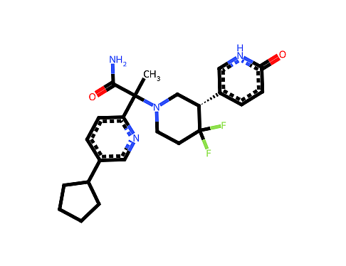 CC(C(N)=O)(c1ccc(C2CCCC2)cn1)N1CCC(F)(F)[C@@H](c2ccc(=O)[nH]c2)C1